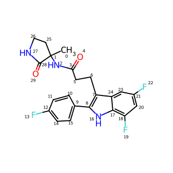 CC1(NC(=O)CCc2c(-c3ccc(F)cc3)[nH]c3c(F)cc(F)cc23)CCNC1=O